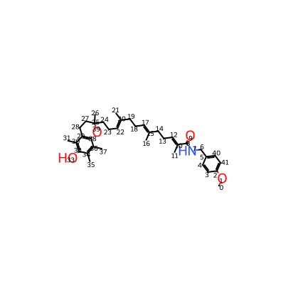 COc1ccc(CNC(=O)/C(C)=C/CC/C(C)=C/CC/C(C)=C/CCC2(C)CCc3c(C)c(O)c(C)c(C)c3O2)cc1